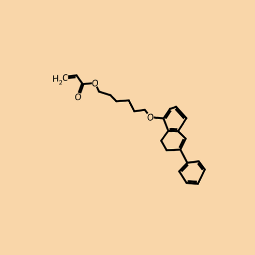 C=CC(=O)OCCCCCCOc1cccc2c1CCC(c1ccccc1)=C2